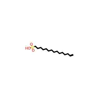 C=CCCCCCCCCCCCCCS(=O)(=O)O